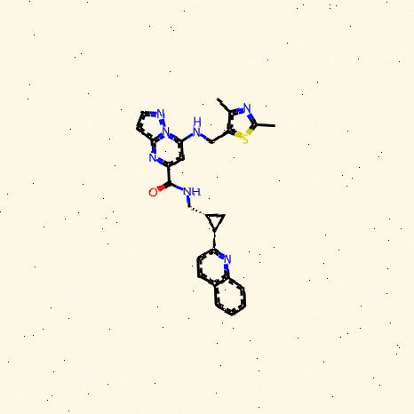 Cc1nc(C)c(CNc2cc(C(=O)NC[C@@H]3C[C@H]3c3ccc4ccccc4n3)nc3ccnn23)s1